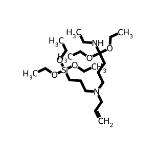 C=CCN(CCCC(NCC)(OCC)OCC)CCC[Si](OCC)(OCC)OCC